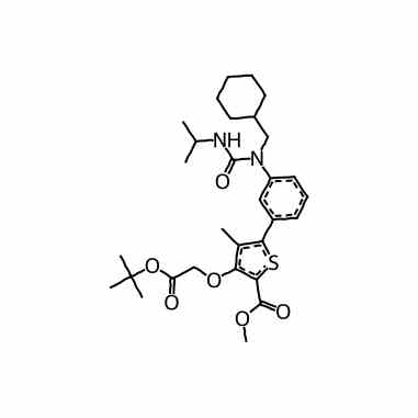 COC(=O)c1sc(-c2cccc(N(CC3CCCCC3)C(=O)NC(C)C)c2)c(C)c1OCC(=O)OC(C)(C)C